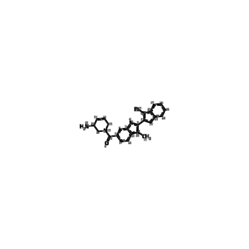 CCn1c(-c2nc3cc(C(=O)N4CC=CC(N)C4)ccc3n2C)cc2ccccc21